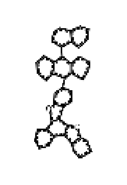 c1ccc2c(-c3c4ccccc4c(-c4ccc5c(c4)oc4c6ccccc6c6c7ccccc7oc6c54)c4ccccc34)cccc2c1